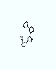 N#CN1CCCC1c1cc(-c2cccc(-c3ccccc3)c2)no1